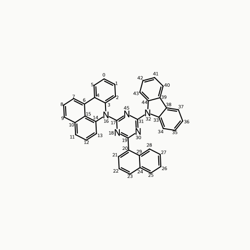 c1ccc2c(c1)-c1cccc3cccc(c13)N2c1nc(-c2cccc3ccccc23)nc(-n2c3ccccc3c3ccccc32)n1